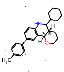 Cc1ccc(-c2ccc3c(c2)[C@H]2OCCC[C@H]2C(C2CCCCC2)N3)cc1